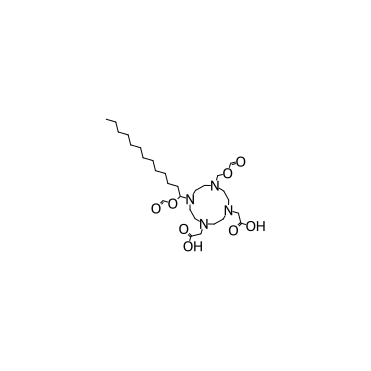 CCCCCCCCCCCCC(OC=O)N1CCN(COC=O)CCN(CC(=O)O)CCN(CC(=O)O)CC1